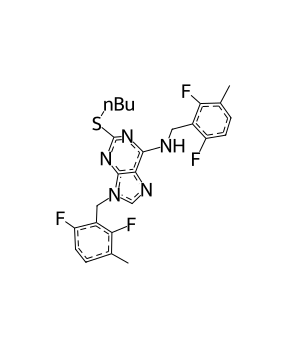 CCCCSc1nc(NCc2c(F)ccc(C)c2F)c2ncn(Cc3c(F)ccc(C)c3F)c2n1